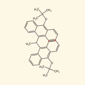 CC(c1c2ccccc2c(O[Si](C)(C)C)c2ccccc12)c1c2ccccc2c(O[Si](C)(C)C)c2ccccc12